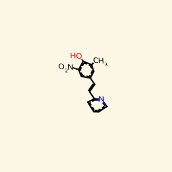 Cc1cc(C=Cc2ccccn2)cc([N+](=O)[O-])c1O